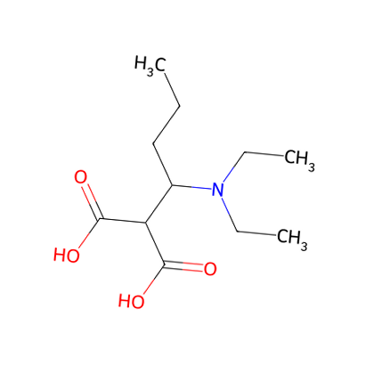 CCCC(C(C(=O)O)C(=O)O)N(CC)CC